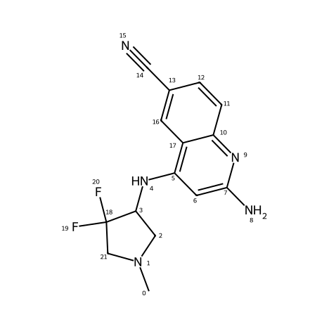 CN1CC(Nc2cc(N)nc3ccc(C#N)cc23)C(F)(F)C1